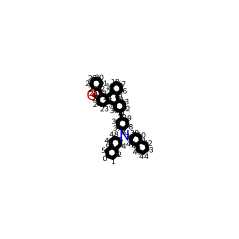 c1ccc2cc(N(c3ccc(-c4ccc5c6ccccc6c6c(ccc7oc8ccccc8c76)c5c4)cc3)c3ccc4ccccc4c3)ccc2c1